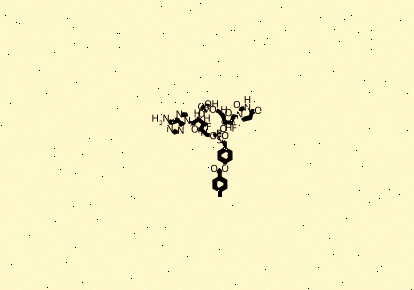 Cc1ccc(C(=O)Oc2ccc(CS[P@@]3(=O)OC[C@H]4O[C@@H](n5cnc6c(N)ncnc65)[C@H](OP(=O)(O)OC[C@H]5O[C@@H](n6ccc(=O)[nH]c6=O)[C@H](F)[C@@H]5O3)[C@@H]4F)cc2)cc1